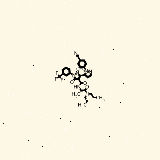 CCCN(CCC)C(=O)[C@H](C)NC(=O)c1c(-c2ccnn2-c2ccc(C#N)cc2)n(C)n(-c2cccc(C(F)(F)F)c2)c1=O